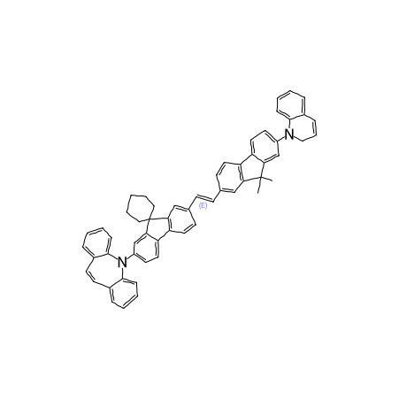 CC1(C)c2cc(/C=C/c3ccc4c(c3)C3(CCCCC3)c3cc(N5c6ccccc6C=Cc6ccccc65)ccc3-4)ccc2-c2ccc(N3CC=Cc4ccccc43)cc21